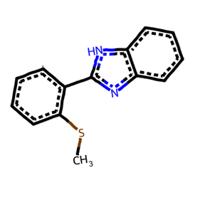 CSc1ccc[c]c1-c1nc2ccccc2[nH]1